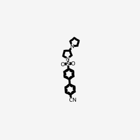 N#Cc1ccc(-c2ccc(S(=O)(=O)N3CCC(N4CCCC4)C3)cc2)cc1